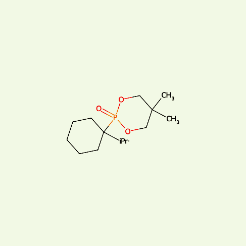 C[C](C)C1(P2(=O)OCC(C)(C)CO2)CCCCC1